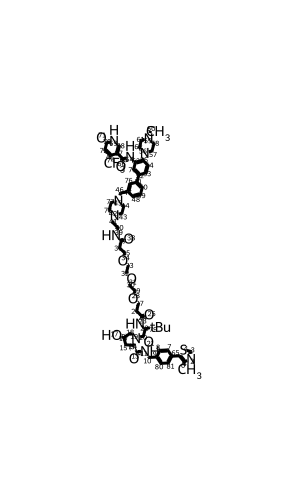 Cc1ncsc1-c1ccc(CNC(=O)[C@@H]2C[C@@H](O)CN2C(=O)C(NC(=O)CCOCCOCCOCCC(=O)NCCN2CCN(Cc3cccc(-c4ccc(N5CCN(C)CC5)c(NC(=O)c5c[nH]c(=O)cc5C(F)(F)F)c4)c3)CC2)C(C)(C)C)cc1